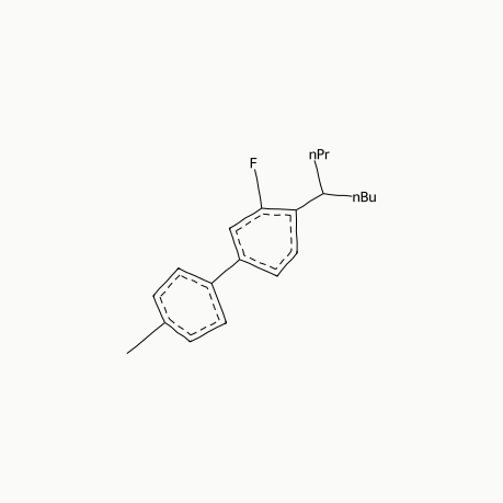 CCCCC(CCC)c1ccc(-c2ccc(C)cc2)cc1F